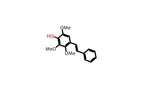 COc1cc(C=Cc2ccccc2)c(OC)c(OC)c1O